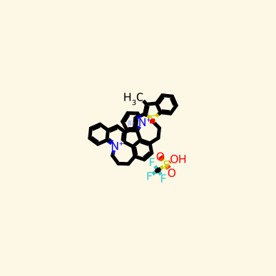 Cc1c(/C=C/c2cc3ccccc3[n+]3c2-c2c(ccc4c2-c2cccc[n+]2CCC4)CCC3)sc2ccccc12.O=S(=O)(O)C(F)(F)F